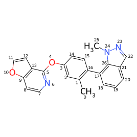 Cc1cc(Oc2nccc3occc23)ccc1-c1cccc2cnn(C)c12